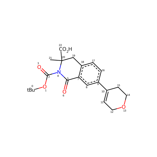 CC(C)(C)OC(=O)N1C(=O)c2cc(C3=CCOCC3)ccc2CC1(C)C(=O)O